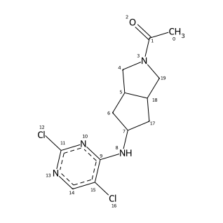 CC(=O)N1CC2CC(Nc3nc(Cl)ncc3Cl)CC2C1